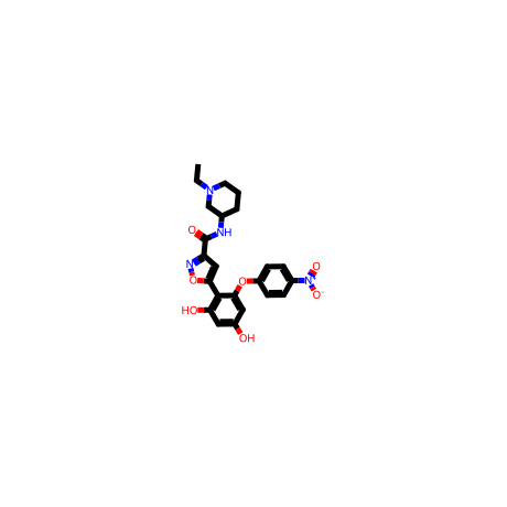 CCN1CCCC(NC(=O)c2cc(-c3c(O)cc(O)cc3Oc3ccc([N+](=O)[O-])cc3)on2)C1